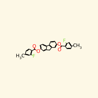 Cc1ccc(C(=O)Oc2ccc3c(c2)Cc2cc(OC(=O)c4ccc(C)cc4F)ccc2-3)c(F)c1